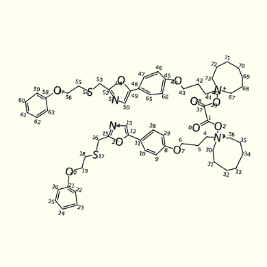 O=C(O[N+]1(CCCOc2ccc(-c3cnc(CSCCOc4ccccc4)o3)cc2)CCCCCCC1)C(=O)O[N+]1(CCCOc2ccc(-c3cnc(CSCCOc4ccccc4)o3)cc2)CCCCCCC1